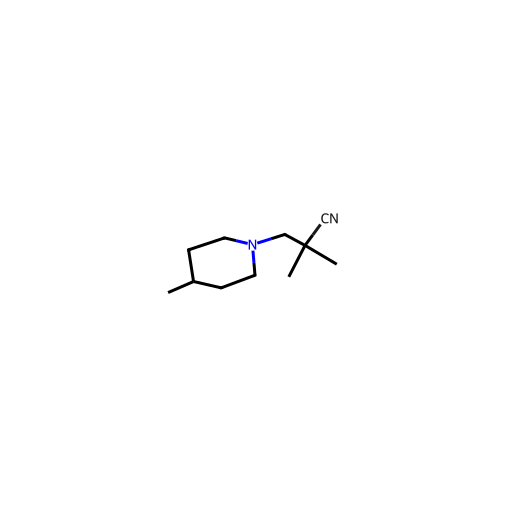 CC1CCN(CC(C)(C)C#N)CC1